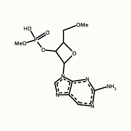 COCC1OC(n2cnc3cnc(N)nc32)C1OP(=O)(O)OC